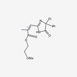 CCC1(C(C)C)N=C(/C=C(/C)C(=O)OCCOC)NC1=O